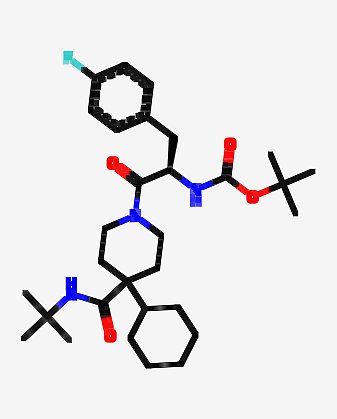 CC(C)(C)NC(=O)C1(C2CCCCC2)CCN(C(=O)[C@@H](Cc2ccc(F)cc2)NC(=O)OC(C)(C)C)CC1